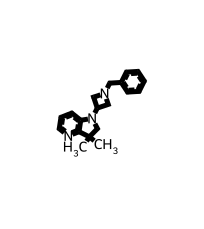 CC1(C)CN(C2CN(Cc3ccccc3)C2)c2cccnc21